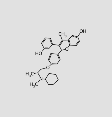 CC1=C(c2cccc(O)c2)C(c2ccc(OC[C@H](C)N(C)C3CCCCC3)cc2)Oc2ccc(O)cc21